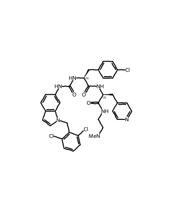 CNCCNC(=O)[C@H](Cc1ccncc1)NC(=O)[C@H](Cc1ccc(Cl)cc1)NC(=O)Nc1ccc2ccn(Cc3c(Cl)cccc3Cl)c2c1